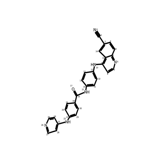 N#Cc1ccc2nccc(Nc3ccc(NC(=O)c4ccc(Nc5ccncc5)cc4)cc3)c2c1